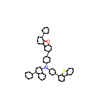 c1ccc(-c2ccc(N(c3ccc(-c4ccc5oc6c(-c7ccccc7)cccc6c5c4)cc3)c3ccc(-c4cccc5c4sc4ccccc45)cc3)c3ccccc23)cc1